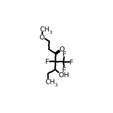 CCC(O)C(F)(C(=O)CCOC)C(F)(F)F